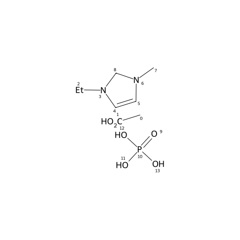 CC(=O)O.CCN1C=CN(C)C1.O=P(O)(O)O